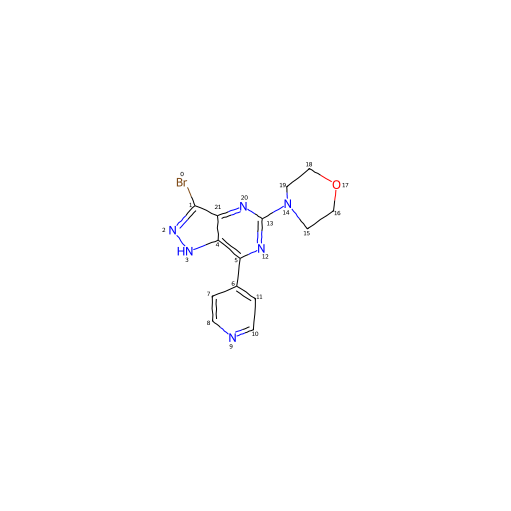 Brc1n[nH]c2c(-c3ccncc3)nc(N3CCOCC3)nc12